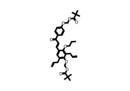 C=CCc1cc(/C=C/C(=O)c2ccc(OCOC(=O)C(C)(C)C)cc2)c(OCCC)c(CC=C)c1OCOC(=O)C(C)(C)C